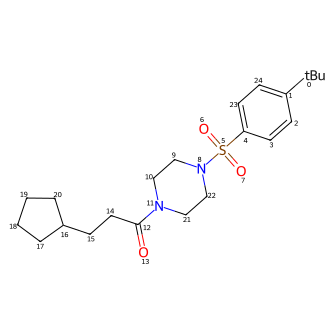 CC(C)(C)c1ccc(S(=O)(=O)N2CCN(C(=O)CCC3CCCC3)CC2)cc1